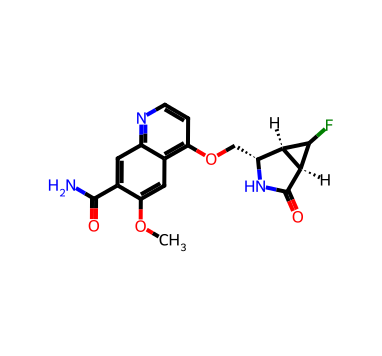 COc1cc2c(OC[C@H]3NC(=O)[C@@H]4C(F)[C@@H]43)ccnc2cc1C(N)=O